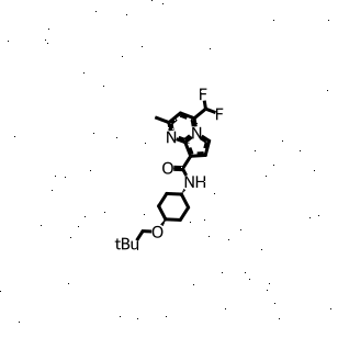 Cc1cc(C(F)F)n2ccc(C(=O)N[C@H]3CC[C@H](OCC(C)(C)C)CC3)c2n1